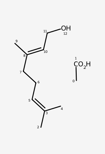 CC(=O)O.CC(C)=CCCC(C)=CCO